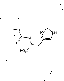 CC(C)(C)OC(=O)N[C@H](Cc1c[nH]cn1)C(=O)O